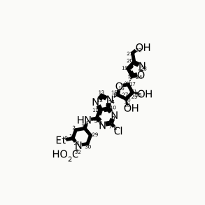 CCC1CC(Nc2nc(Cl)nc3c2ncn3[C@@H]2O[C@H](c3cc(CO)no3)[C@@H](O)[C@H]2O)CCN1C(=O)O